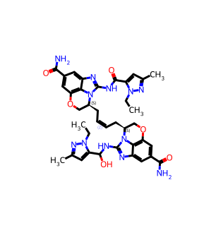 CCn1nc(C)cc1C(=O)Nc1nc2cc(C(N)=O)cc3c2n1[C@@H](C/C=C\C[C@H]1COc2cc(C(N)=O)cc4nc(NC(O)c5cc(C)nn5CC)n1c24)CO3